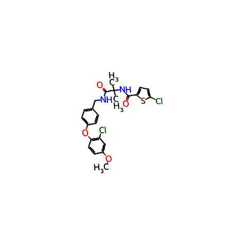 COc1ccc(Oc2ccc(CNC(=O)C(C)(C)NC(=O)c3ccc(Cl)s3)cc2)c(Cl)c1